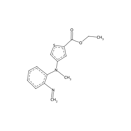 C=Nc1ccccc1N(C)c1csc(C(=O)OCC)c1